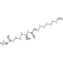 CCCCCCCCOC(=O)C[C@@H](O)CCCCC(=O)OC